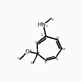 CNC1=CC(C)(OC)C=CC=C1